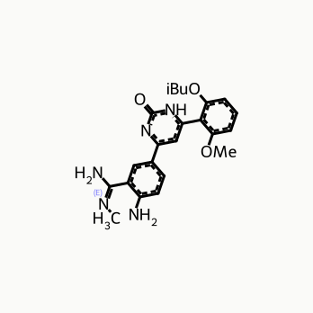 C/N=C(/N)c1cc(-c2cc(-c3c(OC)cccc3OCC(C)C)[nH]c(=O)n2)ccc1N